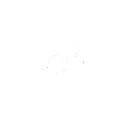 C[CH]c1ccc(C(F)F)cc1